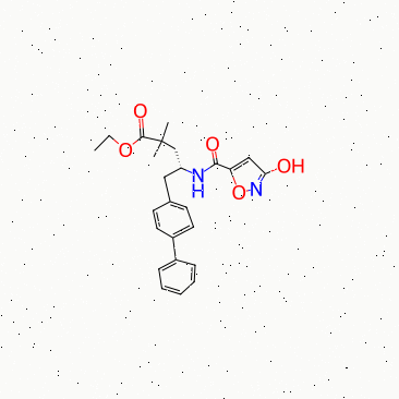 CCOC(=O)C(C)(C)C[C@@H](Cc1ccc(-c2ccccc2)cc1)NC(=O)c1cc(O)no1